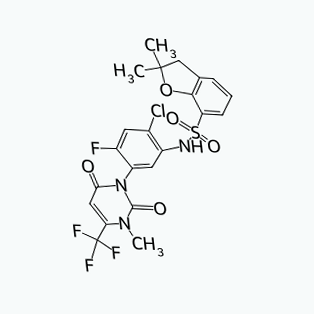 Cn1c(C(F)(F)F)cc(=O)n(-c2cc(NS(=O)(=O)c3cccc4c3OC(C)(C)C4)c(Cl)cc2F)c1=O